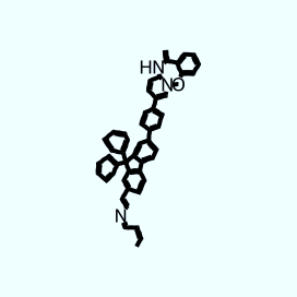 C=C1NC2C=CC(c3ccc(-c4ccc5c(c4)C(c4ccccc4)(c4ccccc4)c4cc(/C=C/N=C\C=C/C)ccc4-5)cc3)=CN2Oc2ccccc21